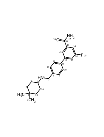 CC1(C)CCC(NCc2ccc(-c3cc(F)cc(C(N)=O)c3)cc2)CC1